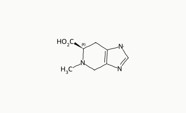 CN1CC2=C(C[C@@H]1C(=O)O)[N]C=N2